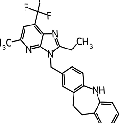 CCc1nc2c(C(F)(F)F)cc(C)nc2n1Cc1ccc2c(c1)CCc1ccccc1N2